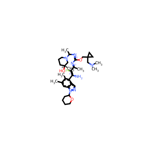 CC(=N\C(=N/C(C)N1CCC[C@@](C)(O)C1)OCC1(CN(C)C)CC1)/C(F)=C(\N)c1c(C)c(C)cc2c1cnn2C1CCCCO1